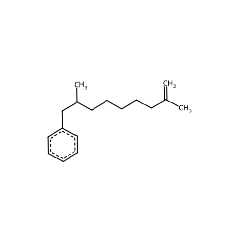 C=C(C)CCCCCC(C)Cc1ccccc1